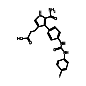 NC(=O)c1[nH]cc(CCC(=O)O)c1-c1ccc(NC(=O)Nc2ccc(F)cc2)cc1